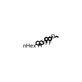 C=CCOc1cc(F)c2c(F)c([C@@H]3CC[C@@H]4CC(CCCCCC)CCC4C3)ccc2c1